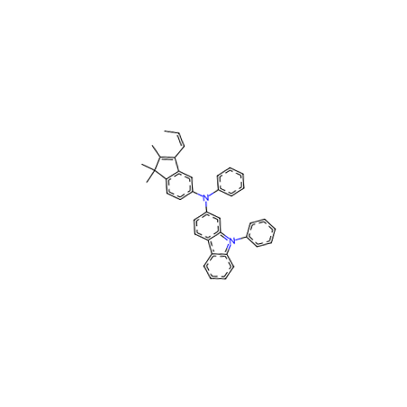 C/C=C\C1=C(C)C(C)(C)c2ccc(N(c3ccccc3)c3ccc4c5ccccc5n(-c5ccccc5)c4c3)cc21